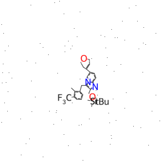 Cc1c(Cc2c(CO[Si](C)(C)C(C)(C)C)nc3ccc(C4=CCOCC4)cn23)cccc1C(F)(F)F